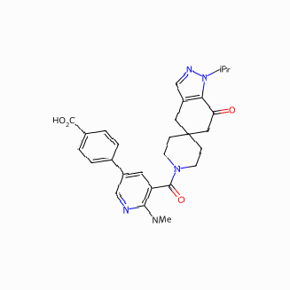 CNc1ncc(-c2ccc(C(=O)O)cc2)cc1C(=O)N1CCC2(CC1)CC(=O)c1c(cnn1C(C)C)C2